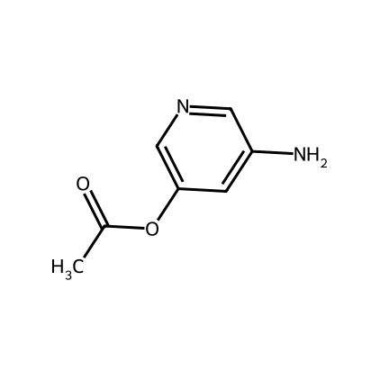 CC(=O)Oc1cncc(N)c1